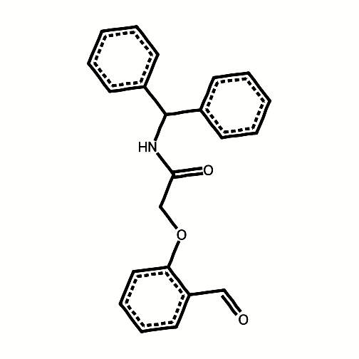 O=Cc1ccccc1OCC(=O)NC(c1ccccc1)c1ccccc1